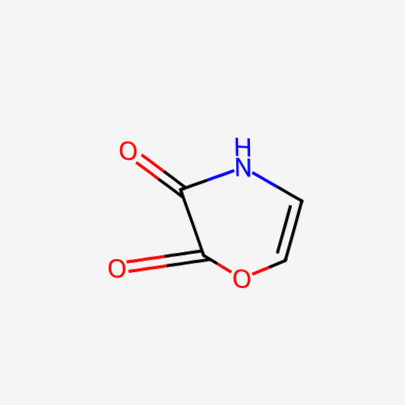 O=c1[nH]ccoc1=O